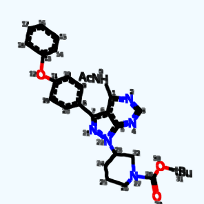 CC(=O)Nc1ncnc2c1c(-c1ccc(Oc3ccccc3)cc1)nn2C1CCCN(C(=O)OC(C)(C)C)C1